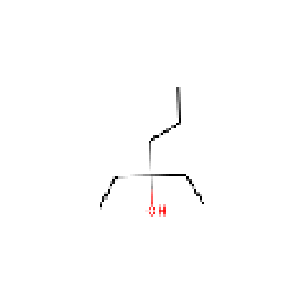 CCCC(O)(CC)CC